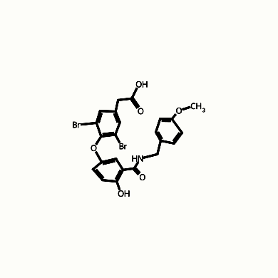 COc1ccc(CNC(=O)c2cc(Oc3c(Br)cc(CC(=O)O)cc3Br)ccc2O)cc1